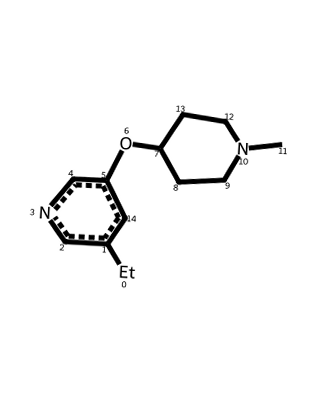 CCc1cncc(OC2CCN(C)CC2)c1